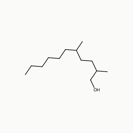 CCCCCCC(C)CCC(C)CO